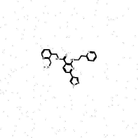 NCc1ncccc1CNC(=O)c1ccc(-c2cn[nH]c2)nc1NCCc1ccccn1